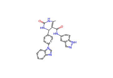 CC1=C(C(=O)Nc2ccc3[nH]ncc3c2)C(c2ccc(-n3cnc4ccccc43)cc2)NC(=O)N1